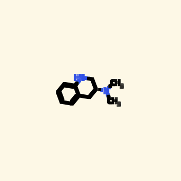 CN(C)[C@H]1CNc2ccccc2C1